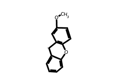 COc1ccc2c(c1)[CH]c1ccccc1O2